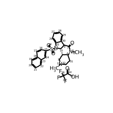 CN1CCC(N(C)C(=O)C2CN(S(=O)(=O)c3ccc4ccccc4c3)c3ccccc32)CC1.O=C(O)C(F)(F)F